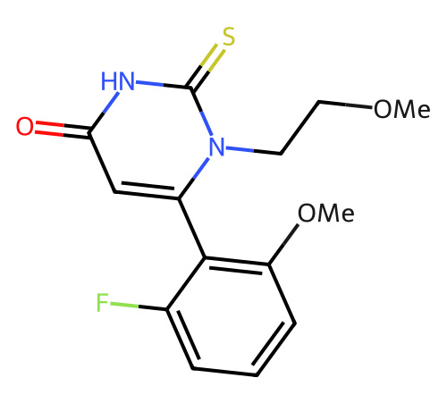 COCCn1c(-c2c(F)cccc2OC)cc(=O)[nH]c1=S